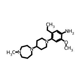 CCc1cc(N)c(OC)cc1N1CCC(N2CCCN(C)CC2)CC1